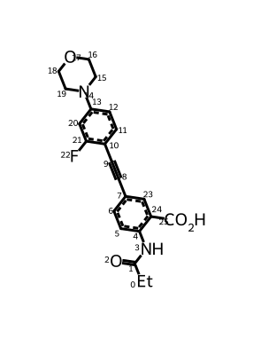 CCC(=O)Nc1ccc(C#Cc2ccc(N3CCOCC3)cc2F)cc1C(=O)O